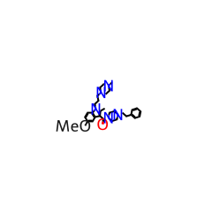 COc1ccc2c(c1)c(C(=O)N1CCN(CCc3ccccc3)CC1)c(C)n2CCCN1CCN(C)CC1